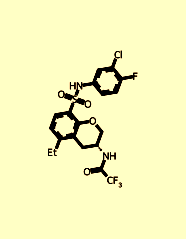 CCc1ccc(S(=O)(=O)Nc2ccc(F)c(Cl)c2)c2c1C[C@@H](NC(=O)C(F)(F)F)CO2